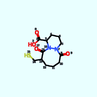 O=C(O)C1CCCN2C(=O)CCCC(CS)C(=O)N12